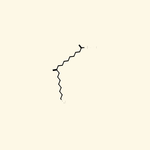 C=C(CCCCCCC)CCCCCCCCC(=C)CCCCCCCCN